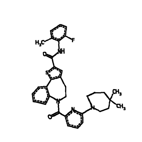 Cc1cccc(F)c1NC(=O)c1cc2c(s1)-c1ccccc1N(C(=O)c1cccc(N3CCCC(C)(C)CC3)n1)CC2